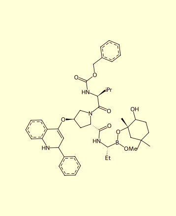 CC[C@H](NC(=O)[C@@H]1C[C@@H](OC2=CC(c3ccccc3)Nc3ccccc32)CN1C(=O)[C@@H](NC(=O)OCc1ccccc1)C(C)C)B(OC)O[C@@]1(C)CC(C)(C)CCC1O